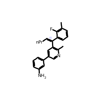 CCC/C=C(\c1cc(-c2cccc(N)c2)cnc1C)c1cccc(C)c1F